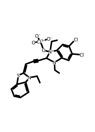 CCN1C(=CC#CC2N(CC)c3cc(Cl)c(Cl)cc3[N+]2(CC)O[Cl+3]([O-])([O-])[O-])Sc2ccccc21